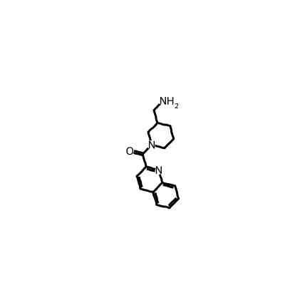 NCC1CCCN(C(=O)c2ccc3ccccc3n2)C1